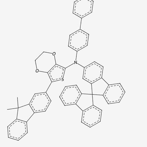 CC1(C)c2ccccc2-c2ccc(-c3sc(N(c4ccc(-c5ccccc5)cc4)c4ccc5c(c4)C4(c6ccccc6-c6ccccc64)c4ccccc4-5)c4c3OCCO4)cc21